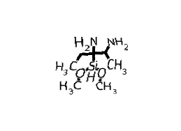 CCC(N)(C(C)N)[SiH](OC)OC